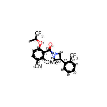 COc1c(C#N)ccc(OC(C)C(F)(F)F)c1C(=O)N1CC(c2ccccc2C(F)(F)F)C1